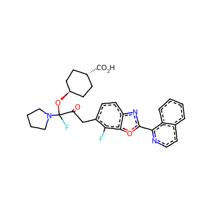 O=C(Cc1ccc2nc(-c3nccc4ccccc34)oc2c1F)C(F)(O[C@H]1CC[C@H](C(=O)O)CC1)N1CCCC1